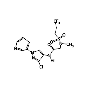 CCN(C(=O)CN(C)S(=O)(=O)CCC(F)(F)F)c1cn(-c2cccnc2)nc1Cl